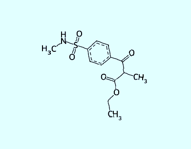 CCOC(=O)C(C)C(=O)c1ccc(S(=O)(=O)NC)cc1